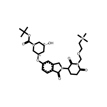 CC(C)(C)OC(=O)N1C[C@H](O)C[C@@H](Oc2ccc3c(c2)CN(C2CCC(=O)N(COCC[Si](C)(C)C)C2=O)C3=O)C1